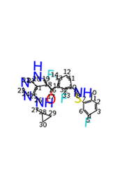 Cc1ccc(F)cc1SNc1ccc(F)c(C(=O)c2c[nH]c3ncnc(NCC4CC4)c23)c1F